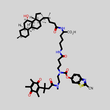 CC1=C(C)C(=O)C(C(C)(C)CC(=O)N(C)CCN(CCCC(=O)NCCCCC(NC(=O)CC[C@@H](C)[C@H]2CC[C@H]3[C@@H]4[C@@H](O)C[C@@H]5C[C@H](C)CC[C@]5(C)[C@H]4CC[C@]23C)C(=O)O)C(=O)Oc2ccc3nc(C#N)sc3c2)=C(C)C1=O